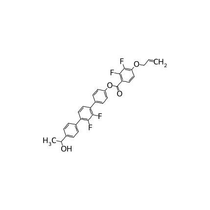 C=CCOc1ccc(C(=O)Oc2ccc(-c3ccc(-c4ccc(C(C)O)cc4)c(F)c3F)cc2)c(F)c1F